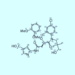 COc1cccc([C@H]2O[C@H](CC(=O)Nc3ncc(C(=O)O)s3)C(=O)N(CC(C)(C)CO)c3ccc(Cl)cc32)c1OC